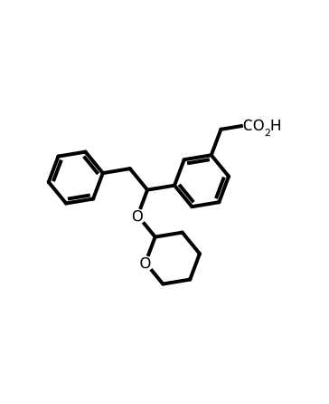 O=C(O)Cc1cccc(C(Cc2ccccc2)OC2CCCCO2)c1